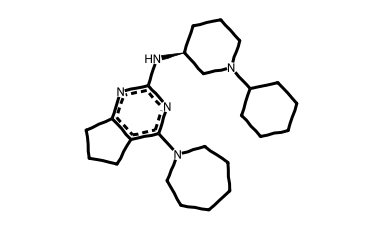 C1CCC(N2CCC[C@H](Nc3nc4c(c(N5CCCCCC5)n3)CCC4)C2)CC1